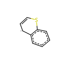 [CH]1C=CSc2ccccc21